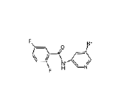 O=C(Nc1cncc(Br)c1)c1cc(F)ccc1F